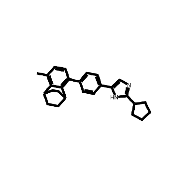 Cc1ccc(-c2ccc(-c3cnc(C4CCCC4)[nH]3)cc2)c2c1C1CCC2CC1